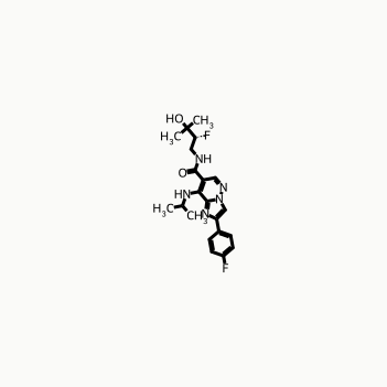 CC(C)Nc1c(C(=O)NC[C@@H](F)C(C)(C)O)cnn2cc(-c3ccc(F)cc3)nc12